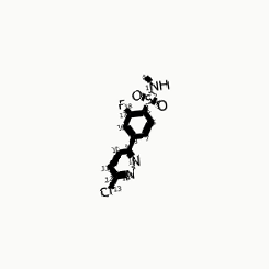 CNS(=O)(=O)c1ccc(-c2ccc(Cl)nn2)cc1F